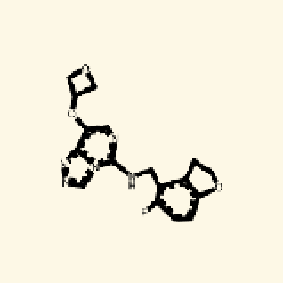 Fc1ccc2c(c1CNc1ncc(OC3COC3)c3nncn13)CCO2